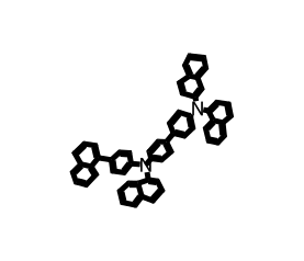 c1ccc2cc(N(c3ccc(-c4ccc(N(c5ccc(-c6cccc7ccccc67)cc5)c5cccc6ccccc56)cc4)cc3)c3cccc4ccccc34)ccc2c1